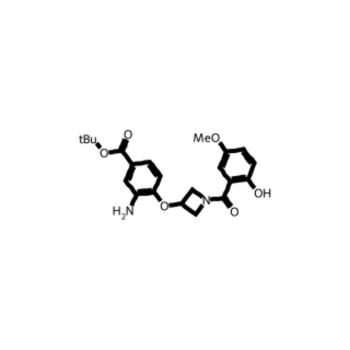 COc1ccc(O)c(C(=O)N2CC(Oc3ccc(C(=O)OC(C)(C)C)cc3N)C2)c1